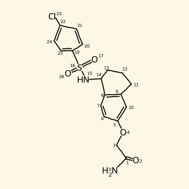 NC(=O)COc1ccc2c(c1)CCCC2NS(=O)(=O)c1ccc(Cl)cc1